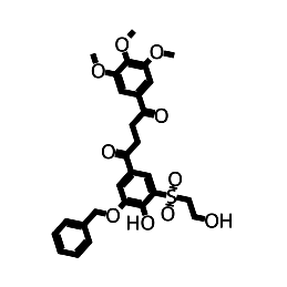 COc1cc(C(=O)CCC(=O)c2cc(OCc3ccccc3)c(O)c(S(=O)(=O)CCO)c2)cc(OC)c1OC